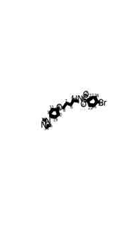 O=S(=O)(NCCCCCOc1ccc(-n2ccnc2)cc1)c1ccc(Br)cc1